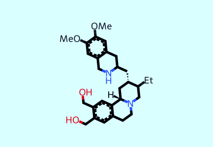 CCC1CN2CCc3cc(CO)c(CO)cc3[C@@H]2C[C@@H]1CC1Cc2cc(OC)c(OC)cc2CN1